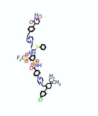 CC1(C)CCC(c2ccc(Cl)cc2)=C(CN2CCN(c3ccc(C(=O)NS(=O)(=O)c4ccc(N[C@H](CCN5CCN(Cc6ccc(C7CCC(=O)NC7=O)cc6)CC5)CSc5ccccc5)c(S(=O)(=O)C(F)(F)F)c4)cc3)CC2)C1